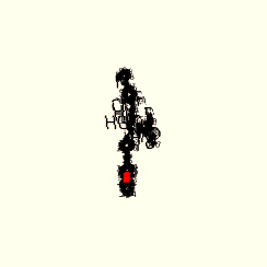 COC(=O)NC(C(=O)N[C@@H](Cc1ccc(C#Cc2ccc(N3CC4CCC(C3)N4C3COC3)nc2)cc1)[C@@H](O)CNCc1c(F)cc(-c2ccccn2)cc1Cl)C(C)(C)CF